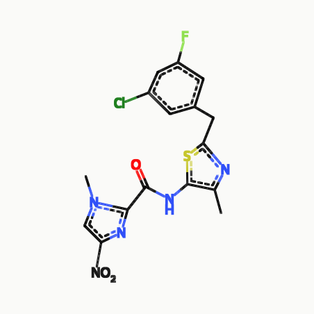 Cc1nc(Cc2cc(F)cc(Cl)c2)sc1NC(=O)c1nc([N+](=O)[O-])cn1C